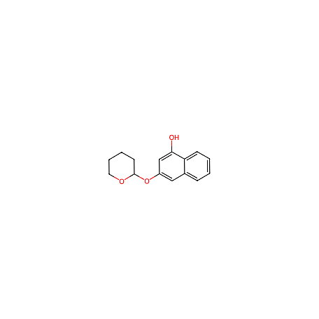 Oc1cc(OC2CCCCO2)cc2ccccc12